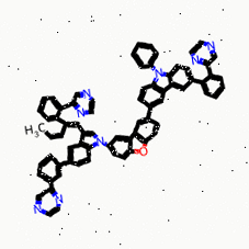 C/C=C\C(=C/c1cn(-c2ccc3oc4ccc(-c5ccc6c(c5)c5cc(-c7ccccc7-c7cnccn7)ccc5n6-c5ccccc5)cc4c3c2)c2ccc(-c3cccc(-c4cnccn4)c3)cc12)c1ccccc1-c1cnccn1